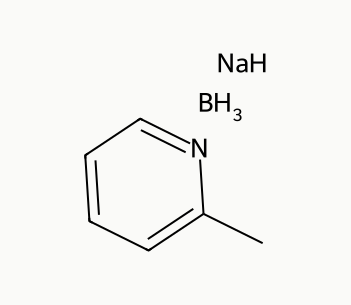 B.Cc1ccccn1.[NaH]